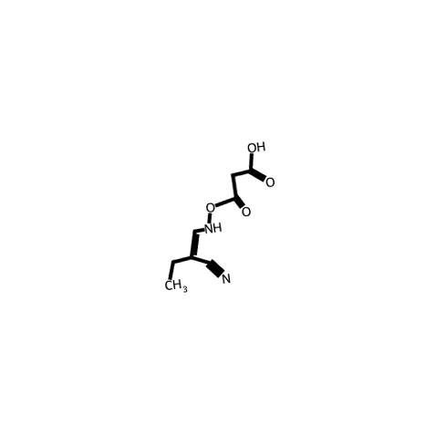 CCC(C#N)=CNOC(=O)CC(=O)O